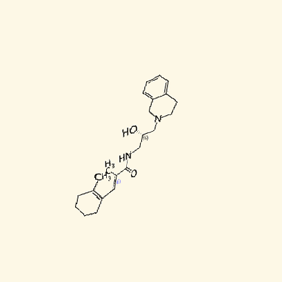 CC1=C(/C=C(\C)C(=O)NC[C@H](O)CN2CCc3ccccc3C2)CCCC1